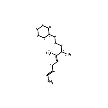 CCCC(CCCC1CCCCC1)/C(C)=C/CC=CP